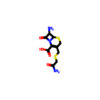 NC(=O)CSCC1=C(C(=O)O)N2C(=O)C(N)C2SC1